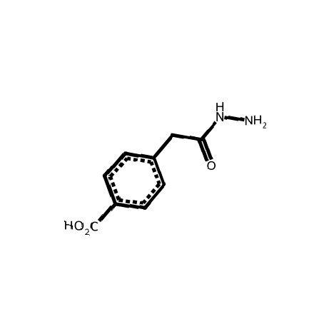 NNC(=O)Cc1ccc(C(=O)O)cc1